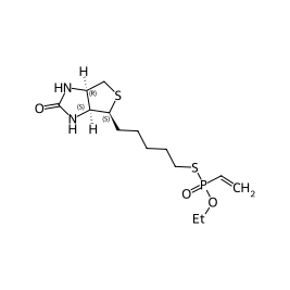 C=CP(=O)(OCC)SCCCCC[C@@H]1SC[C@@H]2NC(=O)N[C@@H]21